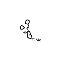 COc1ccc2[nH]c(C(=Cc3ccccc3)c3ccccc3)cc2c1